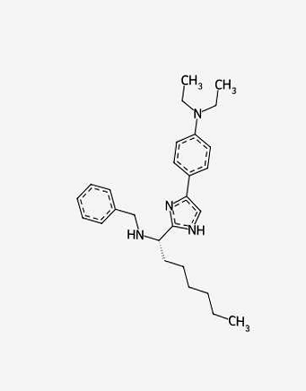 CCCCCC[C@H](NCc1ccccc1)c1nc(-c2ccc(N(CC)CC)cc2)c[nH]1